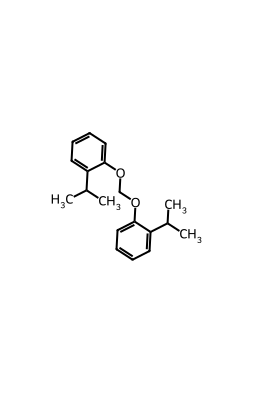 CC(C)c1ccccc1OCOc1ccccc1C(C)C